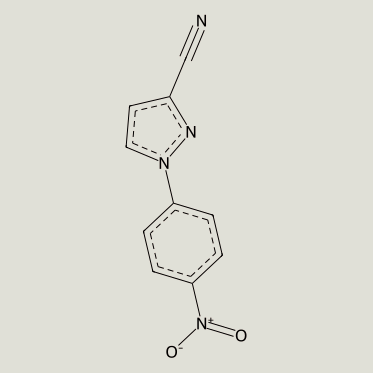 N#Cc1ccn(-c2ccc([N+](=O)[O-])cc2)n1